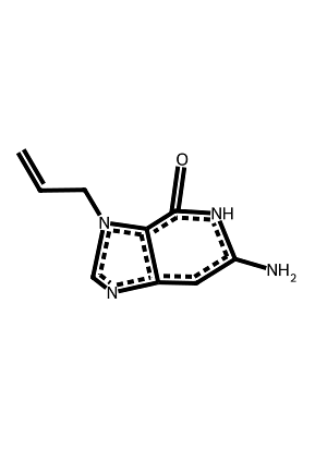 C=CCn1cnc2cc(N)[nH]c(=O)c21